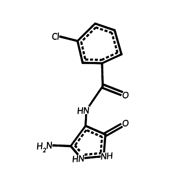 Nc1[nH][nH]c(=O)c1NC(=O)c1cccc(Cl)c1